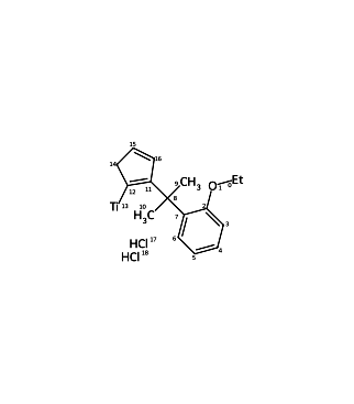 CCOc1ccccc1C(C)(C)C1=[C]([Ti])CC=C1.Cl.Cl